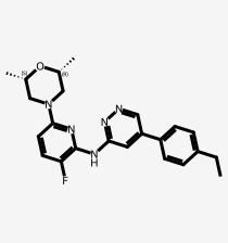 CCc1ccc(-c2cnnc(Nc3nc(N4C[C@@H](C)O[C@@H](C)C4)ccc3F)c2)cc1